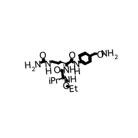 CCON[C@H](C(=O)N[C@@H](CCCNC(N)=O)C(=O)Nc1ccc(CON)cc1)C(C)C